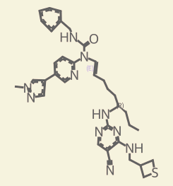 CCC[C@H](CCC/C=C/N(C(=O)NCc1ccccc1)c1ccc(-c2cnn(C)c2)cn1)Nc1ncc(C#N)c(NCC2CSC2)n1